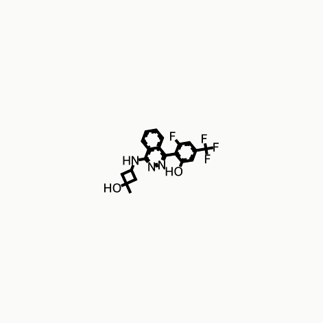 CC1(O)CC(Nc2nnc(-c3c(O)cc(C(F)(F)F)cc3F)c3ccccc23)C1